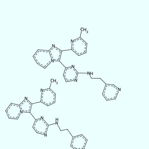 Cc1cccc(-c2nc3ccccn3c2-c2ccnc(NCCc3cccnc3)n2)n1.Cc1cccc(-c2nc3ccccn3c2-c2ccnc(NCCc3ccncc3)n2)n1